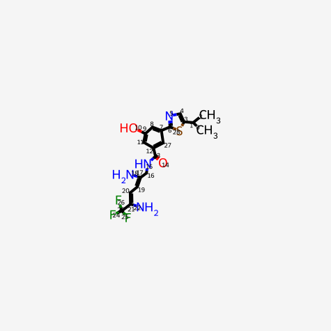 CC(C)c1cnc(-c2cc(O)cc(C(=O)NC/C(N)=C/C=C(\N)C(F)(F)F)c2)s1